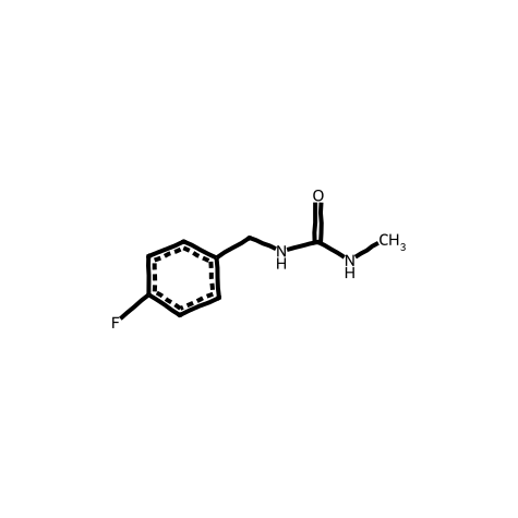 CNC(=O)NCc1ccc(F)cc1